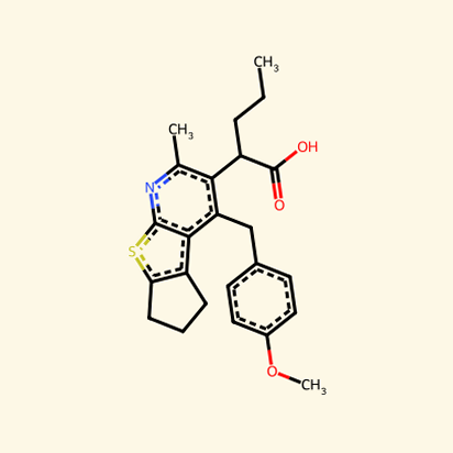 CCCC(C(=O)O)c1c(C)nc2sc3c(c2c1Cc1ccc(OC)cc1)CCC3